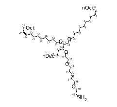 CCCCCCCC/C=C\CCCCCCCCOCC(OCCCCCCCC/C=C\CCCCCCCC)C(CCCCCCCCCCCC)OCCOCCOCCOCCN